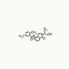 Cc1ccc(C)c(C(=O)Nc2cccc3c(=O)n(C(C)CO)ccc23)c1